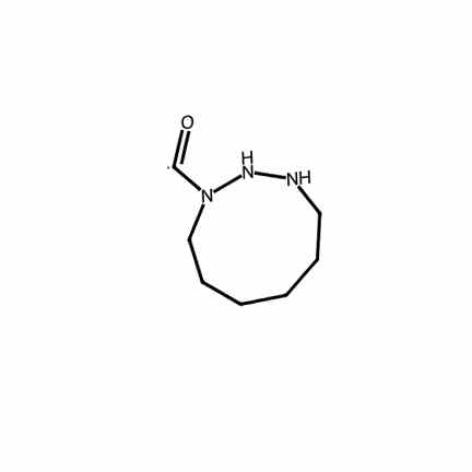 O=[C]N1CCCCCCNN1